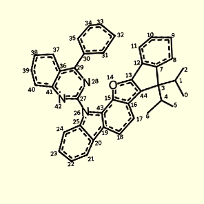 CC(C)C1(C(C)C)c2ccccc2-c2oc3c(ccc4c5ccccc5n(-c5nc(-c6ccccc6)c6ccccc6n5)c43)c21